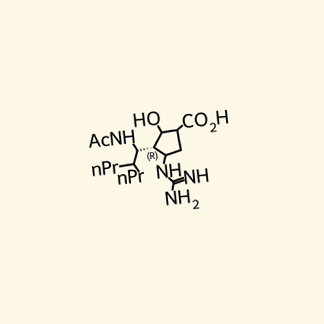 CCCC(CCC)C(NC(C)=O)[C@H]1C(NC(=N)N)CC(C(=O)O)C1O